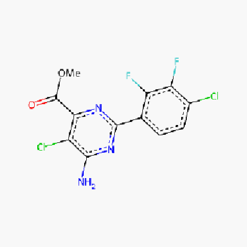 COC(=O)c1nc(-c2ccc(Cl)c(F)c2F)nc(N)c1Cl